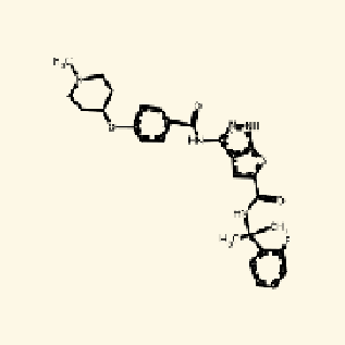 CN1CCC(Oc2ccc(C(=O)Nc3n[nH]c4sc(C(=O)NC(C)(C)c5ccccc5F)cc34)cc2)CC1